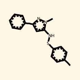 Cc1ccc(SNc2cc(-c3ccccc3)nn2C)cc1